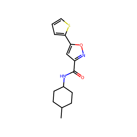 CC1CCC(NC(=O)c2cc(-c3cccs3)on2)CC1